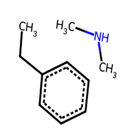 CCc1ccccc1.CNC